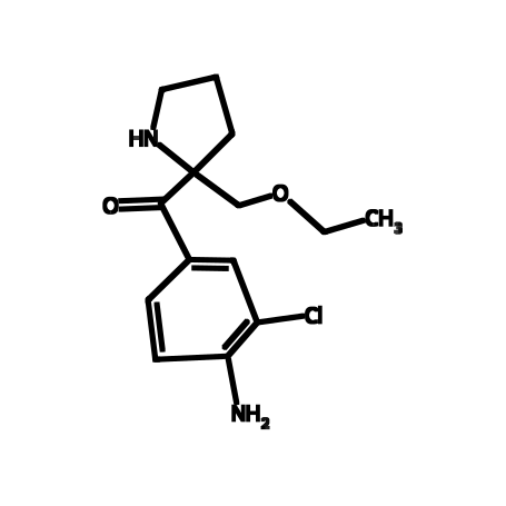 CCOCC1(C(=O)c2ccc(N)c(Cl)c2)CCCN1